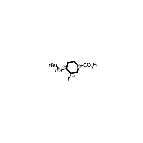 CC(C)(C)N[C@H]1CCN(C(=O)O)C[C@@H]1F